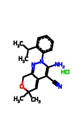 CC(C)c1ccccc1N1N=C2COC(C)(C)C=C2C(C#N)=C1N.Cl